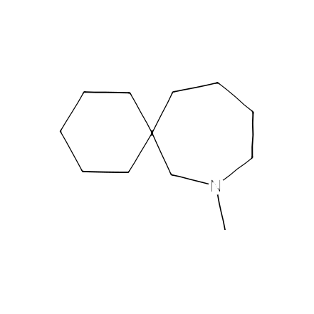 CN1CCCCC2(CCCCC2)C1